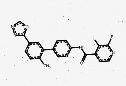 Cc1ccc(-c2nnco2)cc1-c1ccc(NC(=O)c2ccnc(F)c2F)cc1